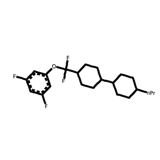 CCCC1CCC(C2CCC(C(F)(F)Oc3cc(F)cc(F)c3)CC2)CC1